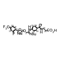 CCCC[C@@H](COc1nnc(-c2ccc(C(F)(F)F)cc2F)o1)Nc1ccc(C(=O)NCCC(=O)O)cc1